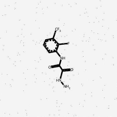 NNC(=O)C(=O)Nc1cccc(C(F)(F)F)c1F